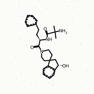 CC(C)(N)C(=O)N[C@H](CCc1ccccc1)C(=O)N1CCC2(CC1)C[C@H](O)c1ccccc12